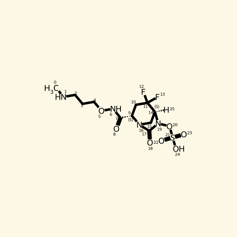 CNCCCONC(=O)[C@@H]1CC(F)(F)[C@@H]2CN1C(=O)N2OS(=O)(=O)O